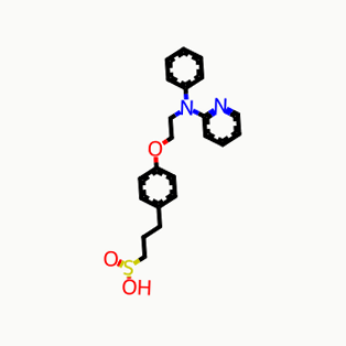 O=S(O)CCCc1ccc(OCCN(c2ccccc2)c2ccccn2)cc1